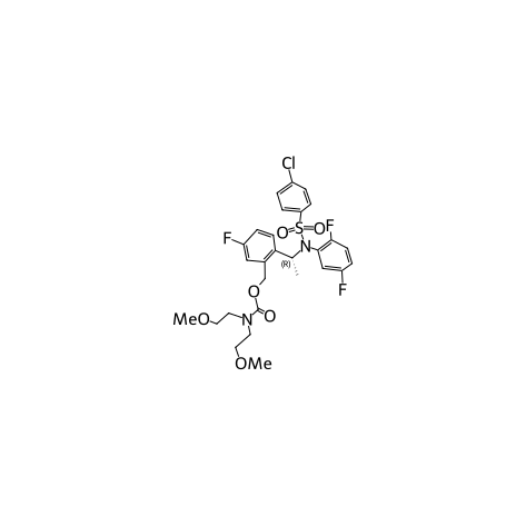 COCCN(CCOC)C(=O)OCc1cc(F)ccc1[C@@H](C)N(c1cc(F)ccc1F)S(=O)(=O)c1ccc(Cl)cc1